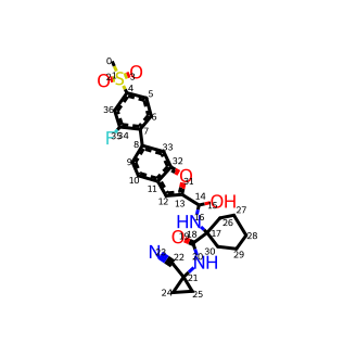 CS(=O)(=O)c1ccc(-c2ccc3cc(C(O)NC4(C(=O)NC5(C#N)CC5)CCCCC4)oc3c2)c(F)c1